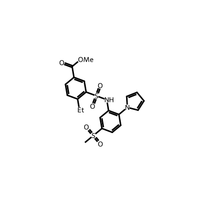 CCc1ccc(C(=O)OC)cc1S(=O)(=O)Nc1cc(S(C)(=O)=O)ccc1-n1cccc1